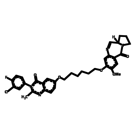 COc1cc2c(cc1OCCCCCCOc1ccc3nc(C)n(-c4ccc(F)c(Cl)c4)c(=O)c3c1)N=C[C@@H]1CCCN1C2=O